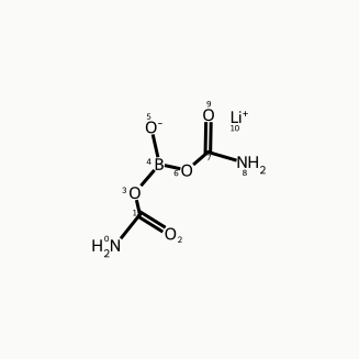 NC(=O)OB([O-])OC(N)=O.[Li+]